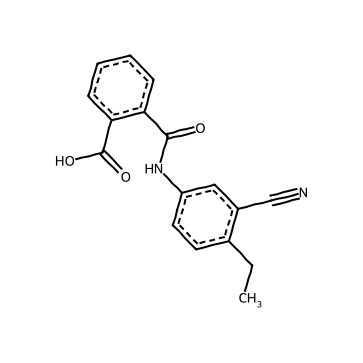 CCc1ccc(NC(=O)c2ccccc2C(=O)O)cc1C#N